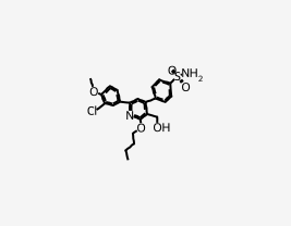 CCCCOc1nc(-c2ccc(OC)c(Cl)c2)cc(-c2ccc(S(N)(=O)=O)cc2)c1CO